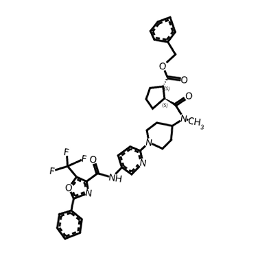 CN(C(=O)[C@H]1CCC[C@@H]1C(=O)OCc1ccccc1)C1CCN(c2ccc(NC(=O)c3nc(-c4ccccc4)oc3C(F)(F)F)cn2)CC1